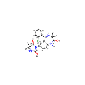 CN1C(=O)C(C)(C)N=C(c2ccccc2F)c2cc(N3C(=O)NC(C)(C)C3=O)ccc21